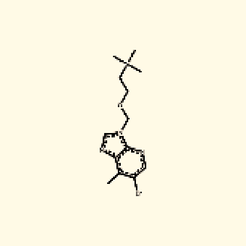 Cc1c(Br)cnc2c1ncn2COCC[Si](C)(C)C